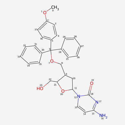 COc1ccc(C(OCC2CC(n3ccc(N)nc3=O)OC2CO)(c2ccccc2)c2ccccc2)cc1